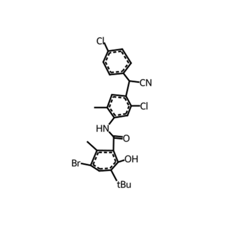 Cc1cc(C(C#N)c2ccc(Cl)cc2)c(Cl)cc1NC(=O)c1c(C)c(Br)cc(C(C)(C)C)c1O